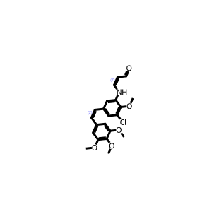 COc1cc(/C=C\c2cc(Cl)c(OC)c(N/C=C\C=O)c2)cc(OC)c1OC